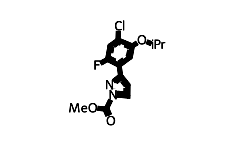 COC(=O)n1ccc(-c2cc(OC(C)C)c(Cl)cc2F)n1